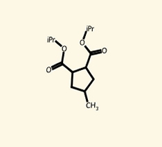 CC1CC(C(=O)OC(C)C)C(C(=O)OC(C)C)C1